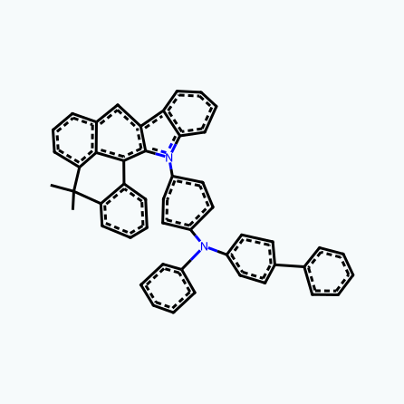 CC1(C)c2ccccc2-c2c3c1cccc3cc1c3ccccc3n(-c3ccc(N(c4ccccc4)c4ccc(-c5ccccc5)cc4)cc3)c21